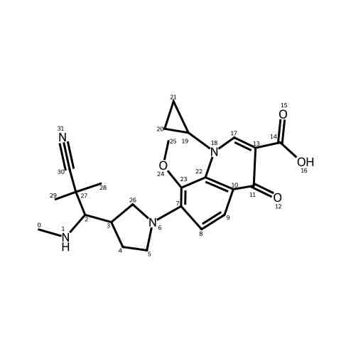 CNC(C1CCN(c2ccc3c(=O)c(C(=O)O)cn(C4CC4)c3c2OC)C1)C(C)(C)C#N